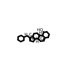 C[C@]12CC[C@H]3[C@@H](CC=C4CCCC(O)[C@@]43C)[C@@H]1CC=C2CC1CCCCC1